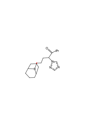 CC(C)C(=O)C(CCCB1C2CCCC1CCC2)n1cncn1